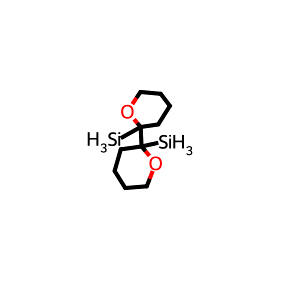 [SiH3]C1(C2([SiH3])CCCCO2)CCCCO1